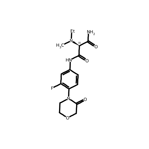 CCN(C)[C@@H](C(N)=O)C(=O)Nc1ccc(N2CCOCC2=O)c(F)c1